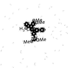 COc1cc(OC)nc(-c2ccc(C3(c4ccc(N5CCOCC5)cc4)C=Cc4c5c(c6cc(OC)c(OC)cc6c4O3)-c3ccccc3C5(C)C)cc2)n1